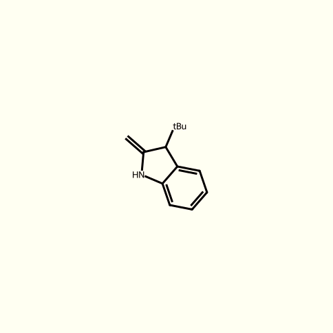 C=C1Nc2ccccc2C1C(C)(C)C